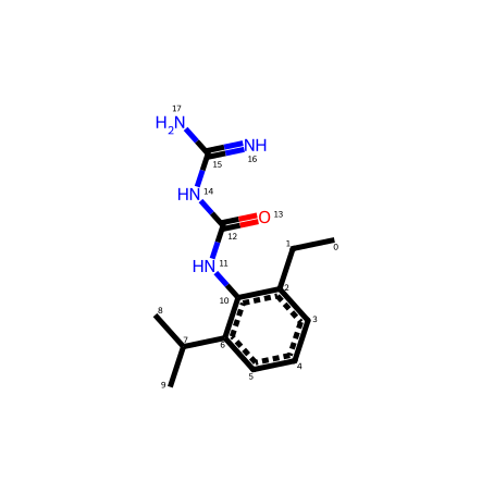 CCc1cccc(C(C)C)c1NC(=O)NC(=N)N